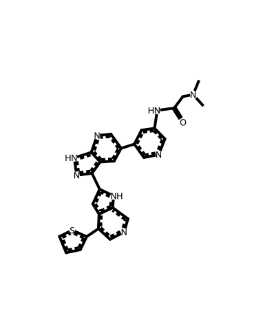 CN(C)CC(=O)Nc1cncc(-c2cnc3[nH]nc(-c4cc5c(-c6cccs6)cncc5[nH]4)c3c2)c1